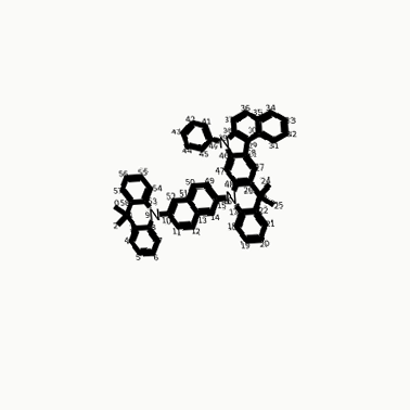 CC1(C)c2ccccc2N(c2ccc3cc(N4c5ccccc5C(C)(C)c5cc6c7c8ccccc8ccc7n(-c7ccccc7)c6cc54)ccc3c2)c2ccccc21